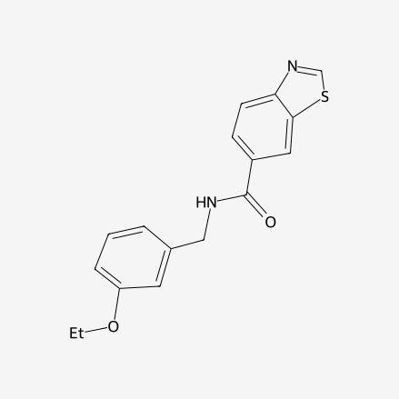 CCOc1cccc(CNC(=O)c2ccc3ncsc3c2)c1